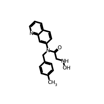 Cc1ccc(CN(C(=O)CNO)c2ccc3cccnc3c2)cc1